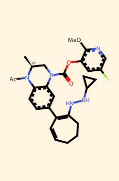 COc1ncc(F)cc1OC(=O)N1C[C@H](C)N(C(C)=O)c2ccc(C3=C(NNC4CC4)CCCC=C3)cc21